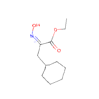 CCOC(=O)/C(CC1CCCCC1)=N\O